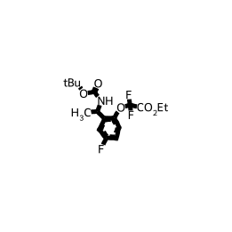 CCOC(=O)C(F)(F)Oc1ccc(F)cc1C(C)NC(=O)OC(C)(C)C